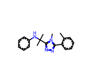 Cc1ccccc1-c1nnc(C(C)(C)Nc2ccccc2)n1C